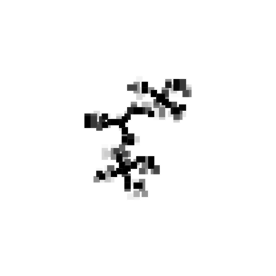 CC(=O)C(C)(C)NCC(C)ONC(C)(C)C(C)=O